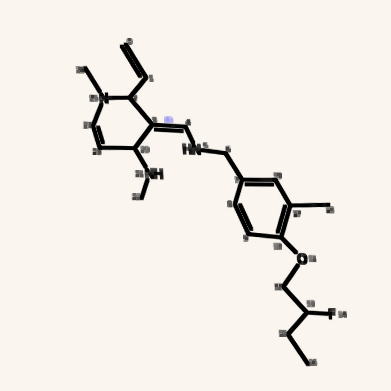 C=CC1/C(=C/NCc2ccc(OCC(F)CC)c(C)c2)C(NC)C=CN1C